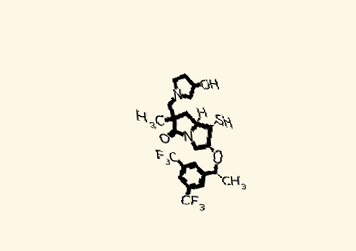 C[C@@H](O[C@H]1CN2C(=O)C(C)(CN3CCC(O)C3)C[C@H]2[C@@H]1S)c1cc(C(F)(F)F)cc(C(F)(F)F)c1